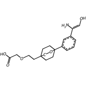 NC(=CO)c1cccc(C23CCC(CCOCC(=O)O)(CC2)CO3)c1